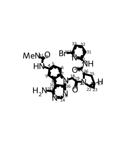 CNC(=O)Nc1ccc2c(c1)c1c(N)ncnc1n2CC(=O)N1C2C[C@@H]2C[C@H]1C(=O)Nc1cccc(Br)n1